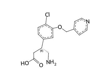 NC[C@H](CC(=O)O)c1ccc(Cl)c(OCc2ccncc2)c1